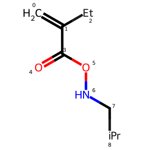 C=C(CC)C(=O)ONCC(C)C